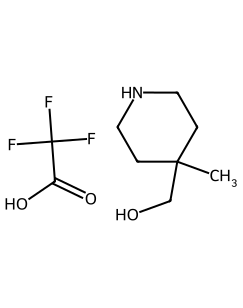 CC1(CO)CCNCC1.O=C(O)C(F)(F)F